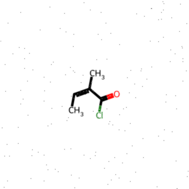 CC=C(C)C(=O)Cl